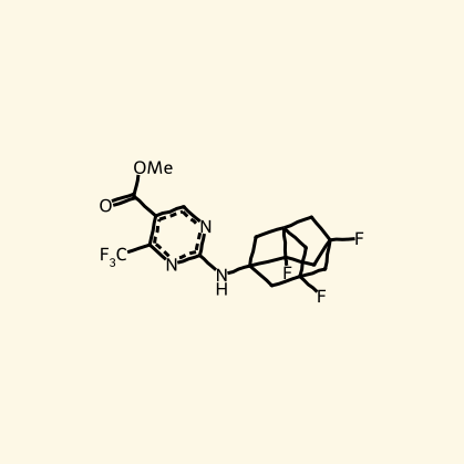 COC(=O)c1cnc(NC23CC4(F)CC5(F)CC(C4)(C2)C3(F)C5)nc1C(F)(F)F